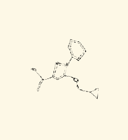 O=C(O)c1cc(OCC2CC2)n(-c2ccccc2)n1